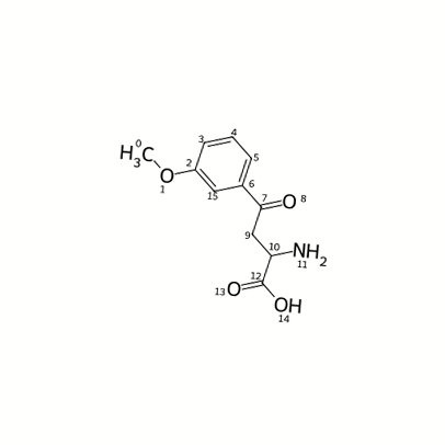 COc1cccc(C(=O)CC(N)C(=O)O)c1